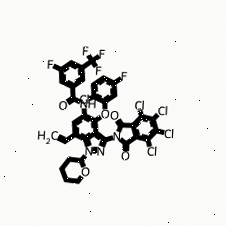 C=Cc1cc(NC(=O)c2cc(F)cc(C(F)(F)F)c2)c(Oc2cc(F)ccc2Cl)c2c(N3C(=O)c4c(Cl)c(Cl)c(Cl)c(Cl)c4C3=O)nn(C3CCCCO3)c12